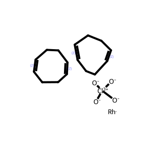 C1=C\CC/C=C\CC/1.C1=C\CC/C=C\CC/1.[O-][Cl+3]([O-])([O-])[O-].[Rh]